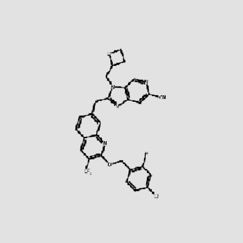 N#Cc1cc2nc(Cc3ccc4cc(C(F)(F)F)c(OCc5ccc(Cl)cc5F)nc4c3)n(CC3CCO3)c2cn1